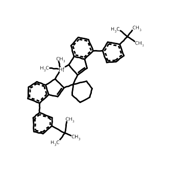 CC(C)(C)c1cccc(-c2cccc3c2C=C2[CH]3[Hf]([CH3])([CH3])[CH]3C(=Cc4c(-c5cccc(C(C)(C)C)c5)cccc43)C23CCCCC3)c1